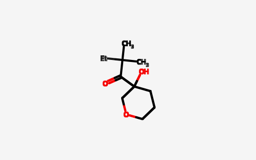 CCC(C)(C)C(=O)C1(O)CCCOC1